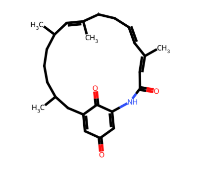 C/C1=C\C(C)CCCC(C)CC2=CC(=O)C=C(NC(=O)/C=C(C)/C=C/C[CH]1)C2=O